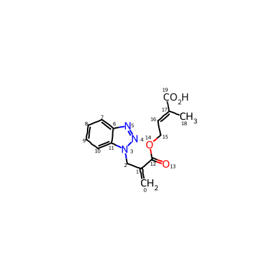 C=C(Cn1nnc2ccccc21)C(=O)OCC=C(C)C(=O)O